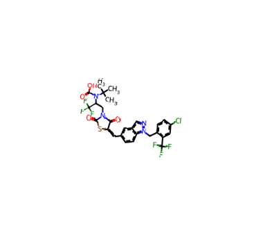 CC(C)(C)N(C(=O)O)C(CN1C(=O)SC(=Cc2ccc3c(cnn3Cc3ccc(Cl)cc3C(F)(F)F)c2)C1=O)C(F)(F)F